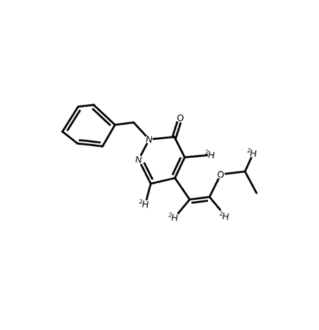 [2H]C(OC([2H])C)=C([2H])c1c([2H])nn(Cc2ccccc2)c(=O)c1[2H]